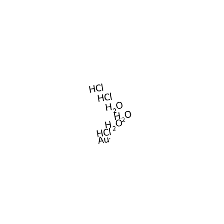 Cl.Cl.Cl.O.O.O.[Au]